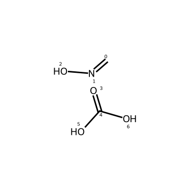 C=NO.O=C(O)O